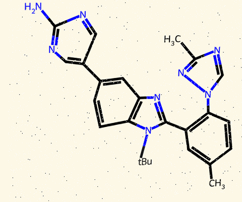 Cc1ccc(-n2cnc(C)n2)c(-c2nc3cc(-c4cnc(N)nc4)ccc3n2C(C)(C)C)c1